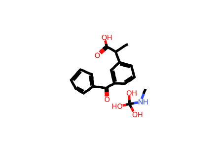 CC(C(=O)O)c1cccc(C(=O)c2ccccc2)c1.CNC(O)(O)O